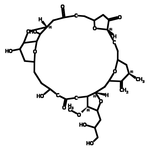 C=C1C2C[C@@H]3OC(CC(O)CO)[C@H](OC)C3CC(=O)CC(O)CCC3CC(O)C4O[C@H](CC(=O)CCC5CC(=O)[C@H](CCC(C[C@H]1C)O2)O5)C(O)C4O3